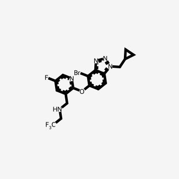 Fc1cnc(Oc2ccc3c(nnn3CC3CC3)c2Br)c(CNCC(F)(F)F)c1